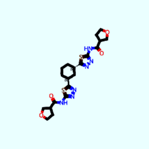 O=C(Nc1nnc([C@H]2CCC[C@H](c3nnc(NC(=O)C4CCOC4)s3)C2)s1)C1CCOC1